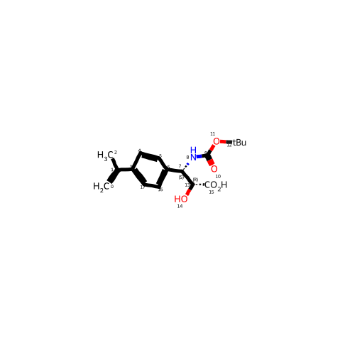 C=C(C)c1ccc([C@H](NC(=O)OC(C)(C)C)[C@@H](O)C(=O)O)cc1